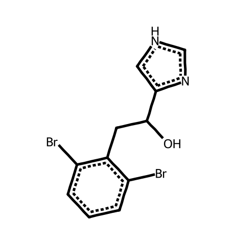 OC(Cc1c(Br)cccc1Br)c1c[nH]cn1